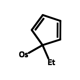 CC[C]1([Os])C=CC=C1